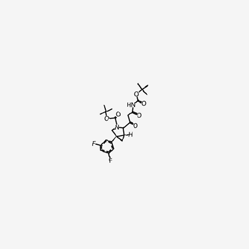 CC(C)(C)OC(=O)NC(=O)CC(=O)C1[C@@H]2C[C@]2(c2cc(F)cc(F)c2)CN1C(=O)OC(C)(C)C